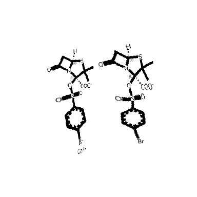 CC1(C)S[C@@H]2CC(=O)N2[C@@]1(OS(=O)(=O)c1ccc(Br)cc1)C(=O)[O-].CC1(C)S[C@@H]2CC(=O)N2[C@@]1(OS(=O)(=O)c1ccc(Br)cc1)C(=O)[O-].[Ca+2]